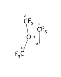 CC(F)(F)F.FC(F)(F)OC(F)(F)F